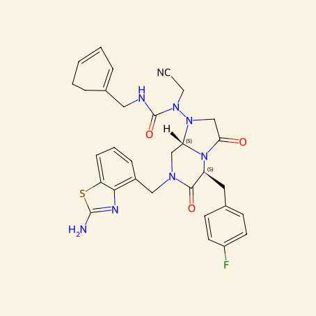 N#CCN(C(=O)NCC1=CC=CCC1)N1CC(=O)N2[C@@H](Cc3ccc(F)cc3)C(=O)N(Cc3cccc4sc(N)nc34)C[C@@H]21